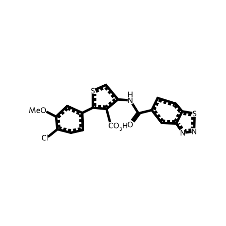 COc1cc(-c2scc(NC(=O)c3ccc4snnc4c3)c2C(=O)O)ccc1Cl